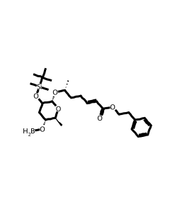 BO[C@@H]1CC(O[Si](C)(C)C(C)(C)C)[C@H](O[C@H](C)CC/C=C/C(=O)OCCc2ccccc2)O[C@H]1C